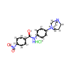 Cl.O=C(Nc1ccc(N2CCN3CCC2CC3)cc1)c1ccc([N+](=O)[O-])cc1